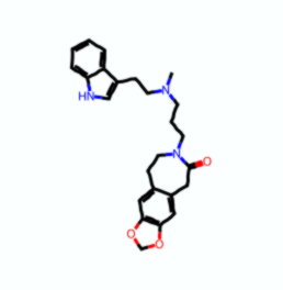 CN(CCCN1CCc2cc3c(cc2CC1=O)OCO3)CCc1c[nH]c2ccccc12